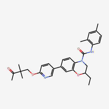 CCC1CN(C(=O)Nc2ccc(C)cc2C)c2ccc(-c3ccc(OCC(C)(C)C(C)=O)nc3)cc2O1